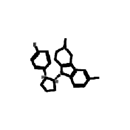 Cc1ccc2c(c1)c1c(n2[C@@H]2CCC[C@@H]2c2ccc(F)cc2)CCN(C)C1